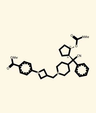 CNC(=O)O[C@H]1CCC[C@@H]1C(C#N)(c1ccccc1)C1CCN(CC2CN(c3ccc(C(=O)OC)cc3)C2)CC1